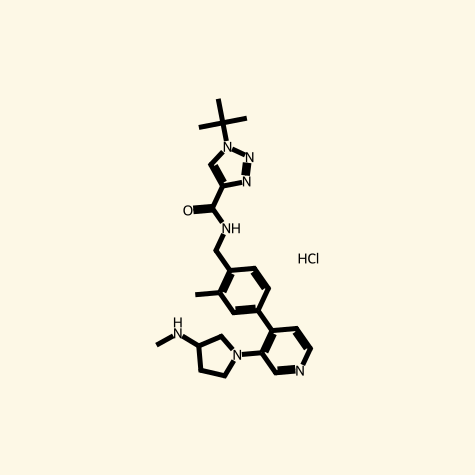 CNC1CCN(c2cnccc2-c2ccc(CNC(=O)c3cn(C(C)(C)C)nn3)c(C)c2)C1.Cl